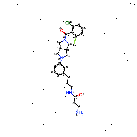 NCCC(=O)NCCCc1cccc(N2CC3CN(C(=O)c4c(F)cccc4Cl)CC3C2)c1